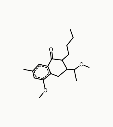 CCCCC1C(=O)c2cc(C)cc(OC)c2CC1C(C)OC